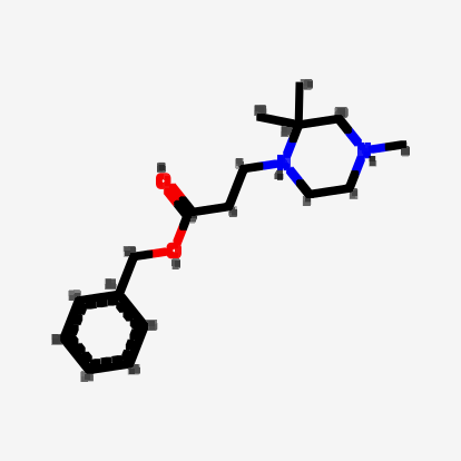 CN1CCN(CCC(=O)OCc2ccccc2)C(C)(C)C1